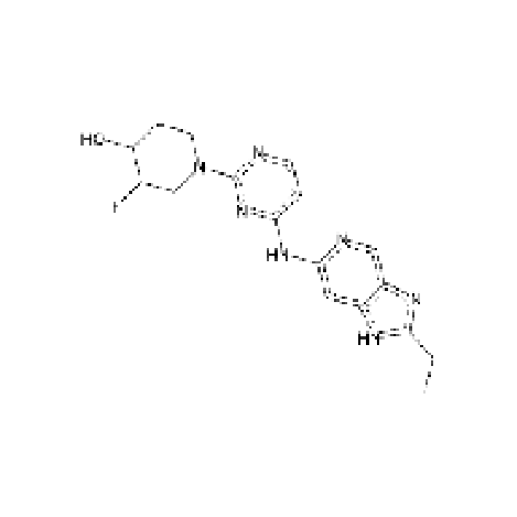 CCc1nc2cnc(Nc3ccnc(N4CCC(O)C(F)C4)n3)cc2[nH]1